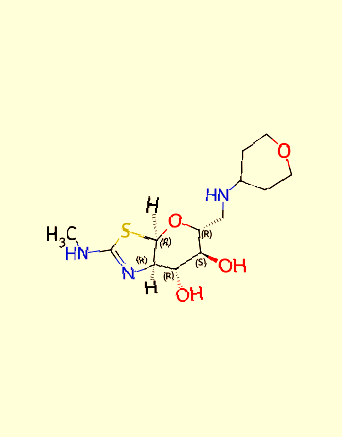 CNC1=N[C@@H]2[C@@H](O)[C@H](O)[C@@H](CNC3CCOCC3)O[C@@H]2S1